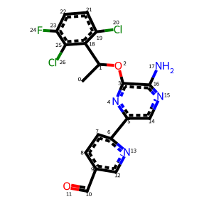 CC(Oc1nc(-c2ccc(C=O)cn2)cnc1N)c1c(Cl)ccc(F)c1Cl